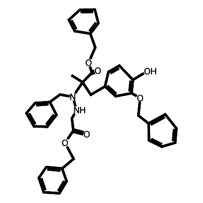 CC(Cc1ccc(O)c(OCc2ccccc2)c1)(C(=O)OCc1ccccc1)N(Cc1ccccc1)NCC(=O)OCc1ccccc1